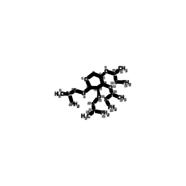 CP(P)SOC1OC[C@@H](OP(C)SP)C(OP(C)SP)[C@H]1OSP(C)P